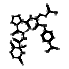 C[C@H](NC(=O)[C@]1(C)NC(=O)CCC1=O)C(=O)N1CCC[C@H]1C(=O)N[C@@H](CCC(=O)O)C(=O)Nc1ccc([N+](=O)[O-])cc1